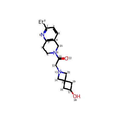 CCc1ccc2c(n1)CCN(C(=O)CN1CC3(CC(O)C3)C1)C2